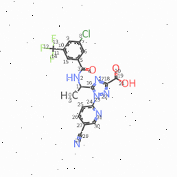 CC(NC(=O)c1cc(Cl)cc(C(F)(F)F)c1)c1nc(C(=O)O)nn1-c1ccc(C#N)cn1